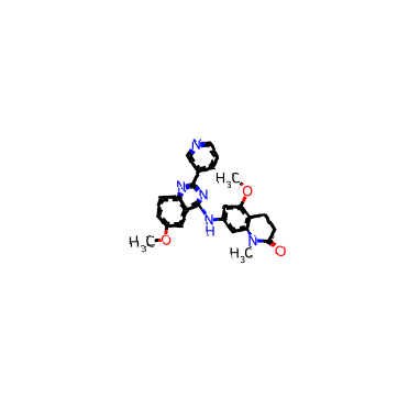 COc1ccc2nc(-c3cccnc3)nc(Nc3cc(OC)c4c(c3)N(C)C(=O)CC4)c2c1